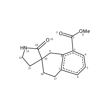 COC(=O)c1cccc2c1CC1(CCNC1=O)CC2